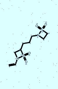 C=CN1CC(CCCN2CCS2(=O)=O)S1(=O)=O